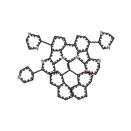 c1ccc2c(C(c3cccc4ccccc34)=c3n4c5nccnc5c5c(-c6cnccn6)ccc(c6ccc(-c7cnccn7)c7c8nc(-c9ccncc9)cnc8n3c67)c54)cccc2c1